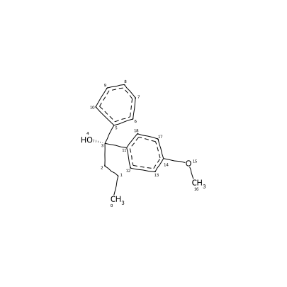 CCC[C@@](O)(c1ccccc1)c1ccc(OC)cc1